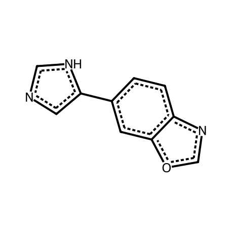 c1ncc(-c2ccc3ncoc3c2)[nH]1